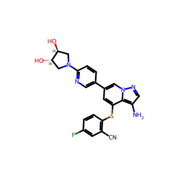 N#Cc1cc(F)ccc1Sc1cc(-c2ccc(N3C[C@H](O)[C@@H](O)C3)nc2)cn2ncc(N)c12